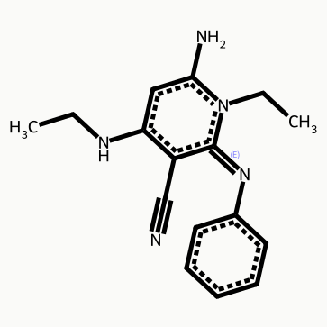 CCNc1cc(N)n(CC)/c(=N/c2ccccc2)c1C#N